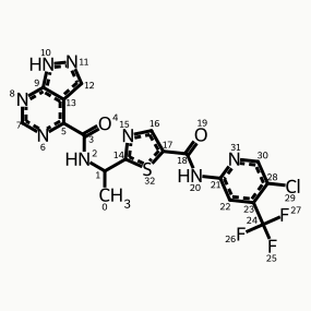 CC(NC(=O)c1ncnc2[nH]ncc12)c1ncc(C(=O)Nc2cc(C(F)(F)F)c(Cl)cn2)s1